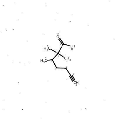 C#CCCC(C)C(C)(C)C(=O)O